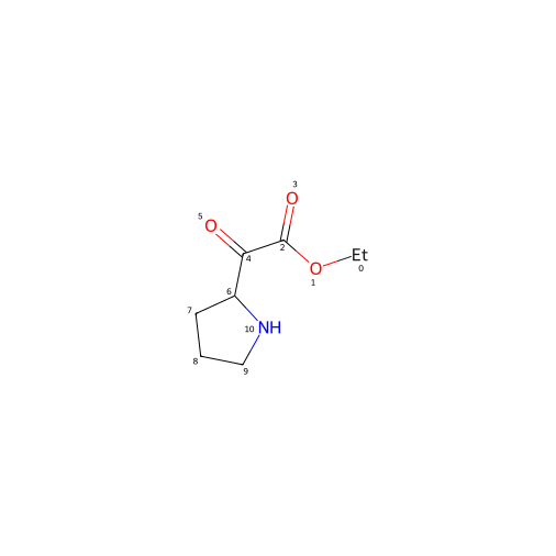 CCOC(=O)C(=O)C1CCCN1